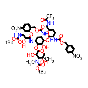 CN(C(=O)OC(C)(C)C)[C@@H]1[C@@H](O)[C@@H](O[C@@H]2[C@@H](O)[C@H](O[C@H]3OC(CNC(=O)C(F)(F)F)=CC[C@H]3NC(=O)OCc3ccc([N+](=O)[O-])cc3)[C@@H](NC(=O)OCc3ccc([N+](=O)[O-])cc3)C[C@H]2NC(=O)[C@H](O)CNC(=O)OC(C)(C)C)OC[C@]1(C)O